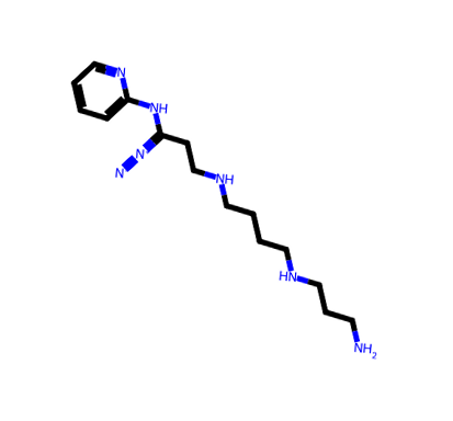 [N-]=[N+]=C(CCNCCCCNCCCN)Nc1ccccn1